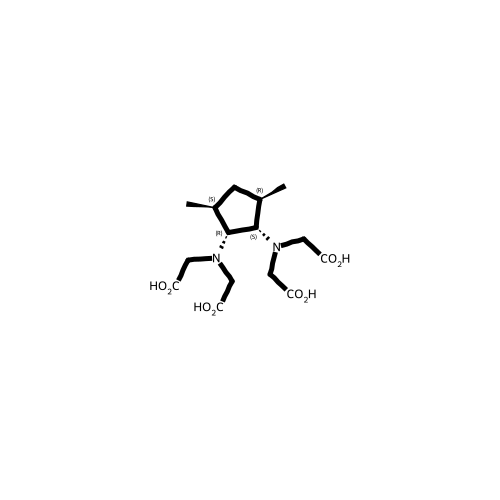 C[C@@H]1C[C@H](C)[C@@H](N(CC(=O)O)CC(=O)O)[C@H]1N(CC(=O)O)CC(=O)O